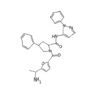 CC(N)c1ccc(C(=O)N2CC(c3ccccc3)CC2C(=O)Nc2ccnn2-c2ccccc2)o1